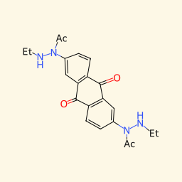 CCNN(C(C)=O)c1ccc2c(c1)C(=O)c1ccc(N(NCC)C(C)=O)cc1C2=O